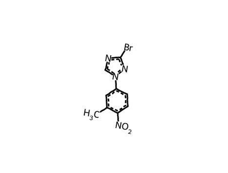 Cc1cc(-n2cnc(Br)n2)ccc1[N+](=O)[O-]